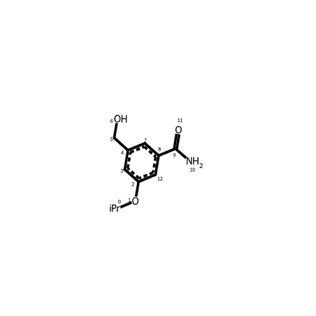 CC(C)Oc1cc(CO)cc(C(N)=O)c1